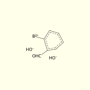 [B+2]c1ccccc1C=O.[OH-].[OH-]